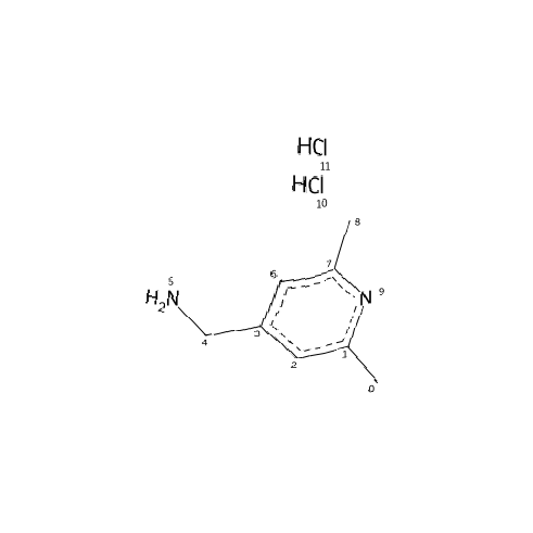 Cc1cc(CN)cc(C)n1.Cl.Cl